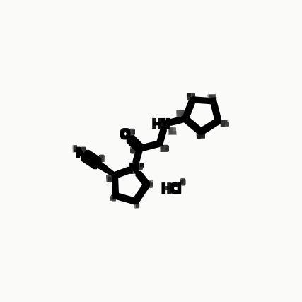 Cl.N#C[C@@H]1CCCN1C(=O)CNC1CCCC1